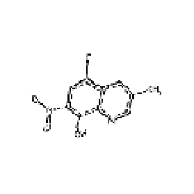 Cc1cnc2c(O)c([N+](=O)[O-])cc(F)c2c1